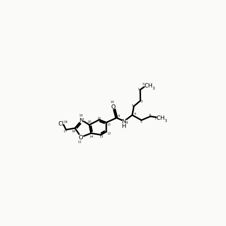 CCCCC(CCC)NC(=O)c1ccc2oc(CCl)nc2c1